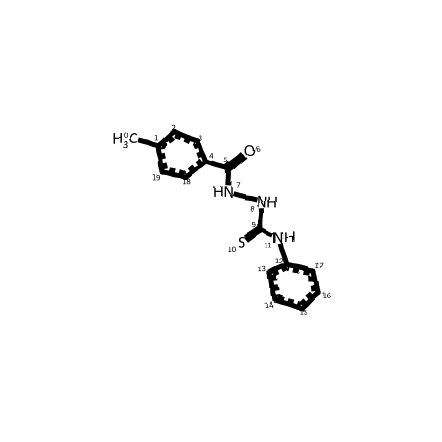 Cc1ccc(C(=O)NNC(=S)Nc2ccccc2)cc1